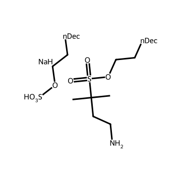 CCCCCCCCCCCCOS(=O)(=O)C(C)(C)CCN.CCCCCCCCCCCCOS(=O)(=O)O.[NaH]